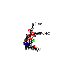 CCCCCCCCCCCCCCCC(=O)OCC(COC(=O)CCCCCCCCCCCCCCC)OC(=O)CC(C)CC(=O)OC1CCC(N(CC(C)C)c2ccc(C(C)CC(=O)OC(C)(C)C)cc2Nc2ccc(Cl)nc2)CC1